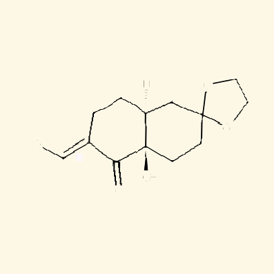 C[C@]12CCC3(C[C@@H]1CC/C(=C\O)C2=O)OCCO3